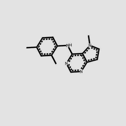 Cc1ccc(Nc2ncnc3ccn(C)c23)c(C)c1